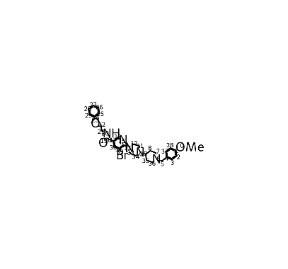 COc1ccc(CN2CCC(N3CCN(c4ncc(C(=O)NCCOc5ccccc5)cc4Br)CC3)CC2)cc1